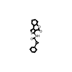 O=C(Nc1scc2c1c(=O)oc1ccccc12)C1CC1c1ccccc1